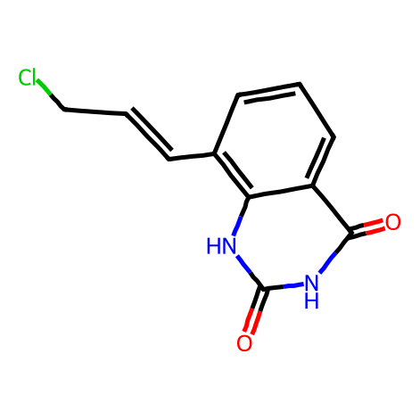 O=c1[nH]c(=O)c2cccc(C=CCCl)c2[nH]1